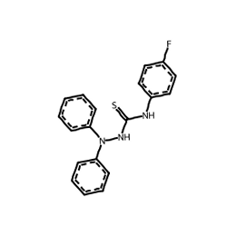 Fc1ccc(NC(=S)NN(c2ccccc2)c2ccccc2)cc1